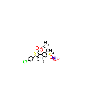 CCOC(=O)c1sc(-c2ccc(Cl)cc2)c(C)c1-c1ccc(SONO)c(C)c1